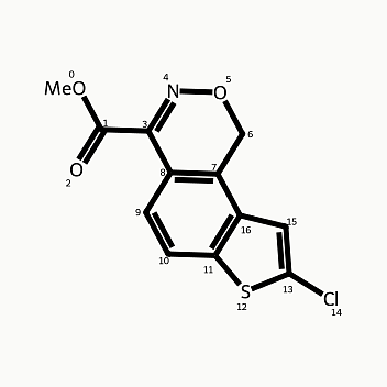 COC(=O)C1=NOCc2c1ccc1sc(Cl)cc21